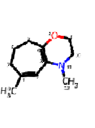 CC1=CC2=C(CCC1)OCCN2C